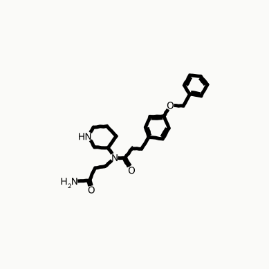 NC(=O)CCN(C(=O)[CH]Cc1ccc(OCc2ccccc2)cc1)C1CCCNC1